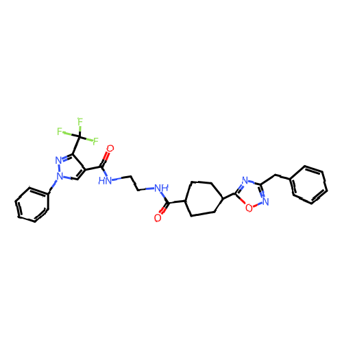 O=C(NCCNC(=O)C1CCC(c2nc(Cc3ccccc3)no2)CC1)c1cn(-c2ccccc2)nc1C(F)(F)F